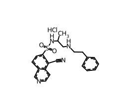 CC(CNCCc1ccccc1)NS(=O)(=O)c1ccc2cnccc2c1C#N.Cl